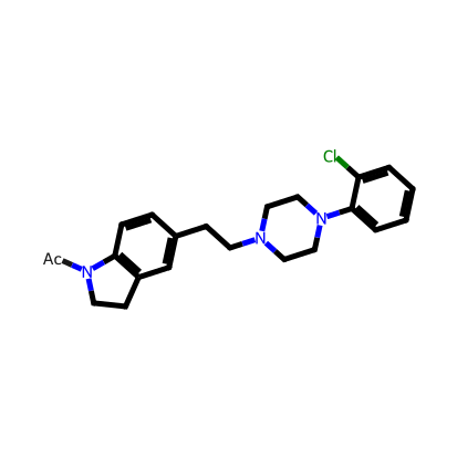 CC(=O)N1CCc2cc(CCN3CCN(c4ccccc4Cl)CC3)ccc21